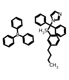 CCCCc1cccc([SiH2]C(c2ccccc2)(c2ccccc2)n2ccnc2)c1.c1ccc(B(c2ccccc2)c2ccccc2)cc1